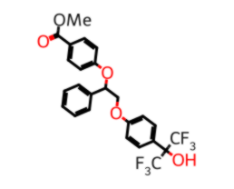 COC(=O)c1ccc(OC(COc2ccc(C(O)(C(F)(F)F)C(F)(F)F)cc2)c2ccccc2)cc1